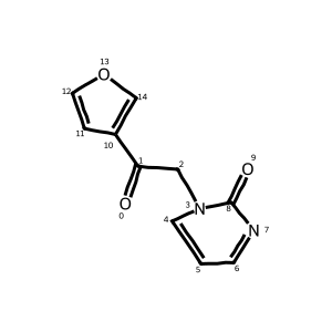 O=C(Cn1cccnc1=O)c1ccoc1